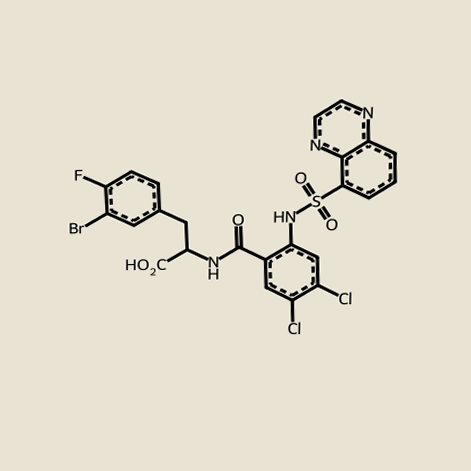 O=C(NC(Cc1ccc(F)c(Br)c1)C(=O)O)c1cc(Cl)c(Cl)cc1NS(=O)(=O)c1cccc2nccnc12